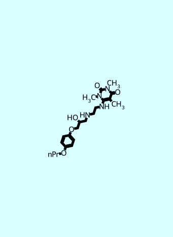 CCCOc1ccc(OCC(O)CNCCNc2c(C)c(=O)n(C)c(=O)n2C)cc1